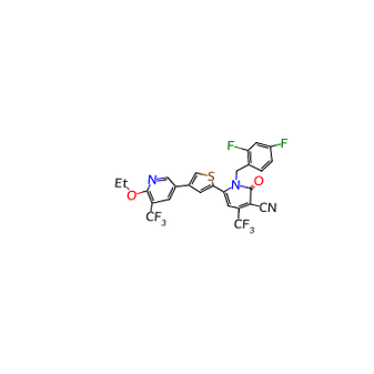 CCOc1ncc(-c2csc(-c3cc(C(F)(F)F)c(C#N)c(=O)n3Cc3ccc(F)cc3F)c2)cc1C(F)(F)F